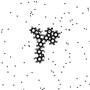 CC1(C)c2ccccc2-c2ccc(N(c3ccc(-c4ccc5c(c4)oc4ccccc45)cc3)c3ccc([Si](c4ccccc4)(c4ccccc4)c4ccccc4)cc3)cc21